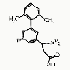 Cc1cccc(C)c1-c1cc(F)cc(C(N)CC(=O)O)c1